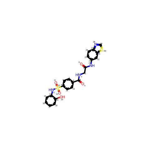 O=C(CNC(=O)c1ccc(S(=O)(=O)Nc2ccccc2O)cc1)Nc1ccc2ncsc2c1